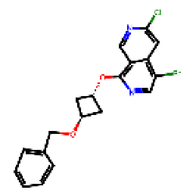 Clc1cc2c(Br)cnc(O[C@H]3C[C@H](OCc4ccccc4)C3)c2cn1